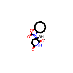 BC1(N2C(=O)OC3CCCCCCCC32)CCC(=O)NC1=O